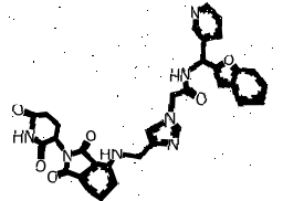 O=C1CCC(N2C(=O)c3cccc(NCc4cn(CC(=O)NC(c5cccnc5)c5cc6ccccc6o5)cn4)c3C2=O)C(=O)N1